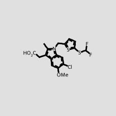 COc1cc2c(CC(=O)O)c(C)n(Cc3ccc(SC(F)F)s3)c2cc1Cl